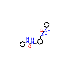 O=C(NCc1cccc(CNC(=O)Nc2ccccc2)c1)Nc1ccccc1